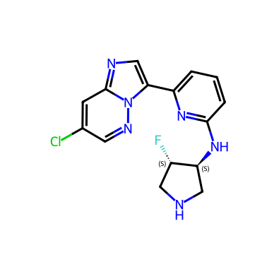 F[C@H]1CNC[C@@H]1Nc1cccc(-c2cnc3cc(Cl)cnn23)n1